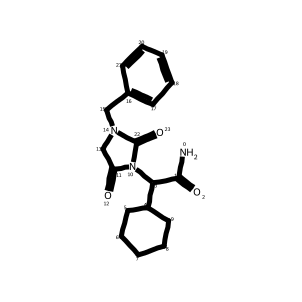 NC(=O)C(C1CCCCC1)N1C(=O)CN(Cc2ccccc2)C1=O